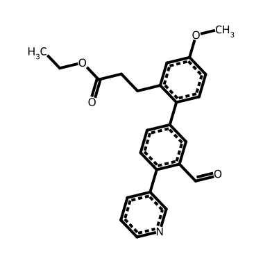 CCOC(=O)CCc1cc(OC)ccc1-c1ccc(-c2cccnc2)c(C=O)c1